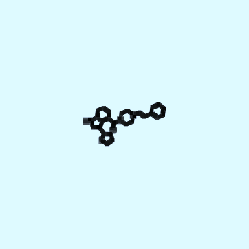 O=C(c1cccc2[nH]cc(-c3cccs3)c12)N1CCN(C=Cc2ccccc2)CC1